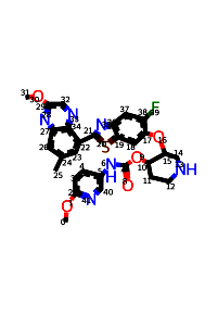 COc1ccc(NC(=O)OC2CCNCC2Oc2cc3sc(-c4cc(C)cc5nc(OC)cnc45)nc3cc2F)cn1